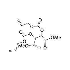 C=CCOC(=O)OC(C(=O)OC)C(OC(=O)OCC=C)C(=O)OC